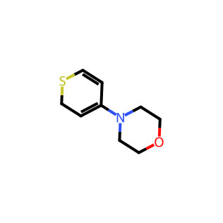 C1=CC(N2CCOCC2)=CCS1